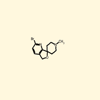 CN1CCC2(CC1)OCc1ccc(Br)nc12